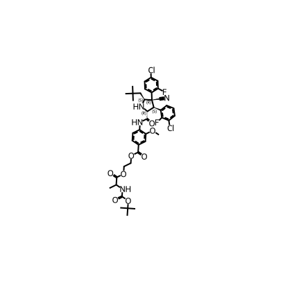 COc1cc(C(=O)OCCOC(=O)C(C)NC(=O)OC(C)(C)C)ccc1NC(=O)[C@@H]1N[C@@H](CC(C)(C)C)[C@](C#N)(c2ccc(Cl)cc2F)[C@H]1c1cccc(Cl)c1F